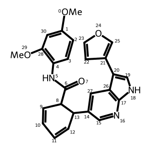 COc1ccc(NC(=O)C2C=CC=CC2c2cnc3[nH]cc(-c4ccoc4)c3c2)c(OC)c1